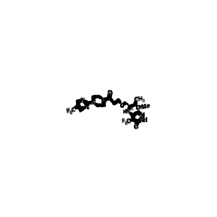 CO[C@@H](C)[C@@H](COCCC(=O)N1CCN(c2ncc(C(F)(F)F)cn2)CC1)Nc1cn[nH]c(=O)c1C(F)(F)F